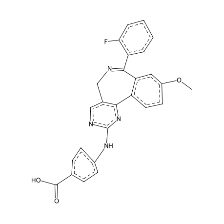 COc1ccc2c(c1)C(c1ccccc1F)=NCc1cnc(Nc3ccc(C(=O)O)cc3)nc1-2